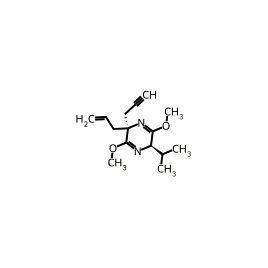 C#CC[C@]1(CC=C)N=C(OC)[C@@H](C(C)C)N=C1OC